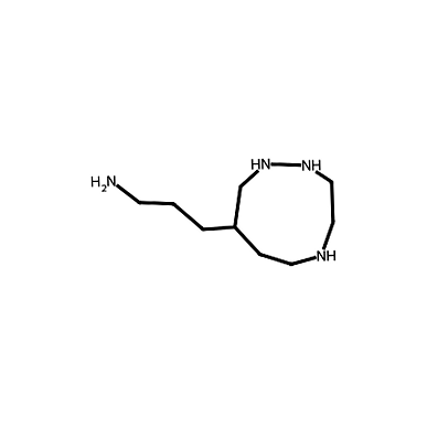 NCCCC1CCNCCNNC1